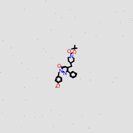 COc1ccc(Cn2nc(-c3ccccc3)c(CC3CCN(C(=O)OC(C)(C)C)CC3)cc2=O)cc1